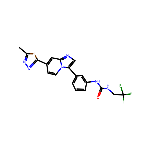 Cc1nnc(-c2ccn3c(-c4cccc(NC(=O)NCC(F)(F)F)c4)cnc3c2)s1